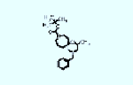 C[C@H]1CN(Cc2ccccc2)C[C@@]2(CCCN(C(=O)OC(C)(C)C)CC2)O1